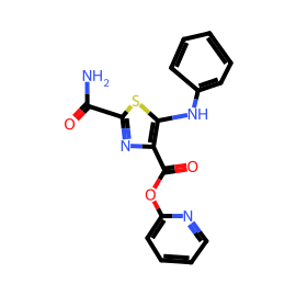 NC(=O)c1nc(C(=O)Oc2ccccn2)c(Nc2ccccc2)s1